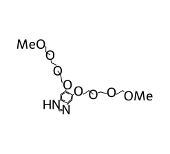 COCCOCCOCCOc1cc2nc[nH]c2cc1OCCOCCOCCOC